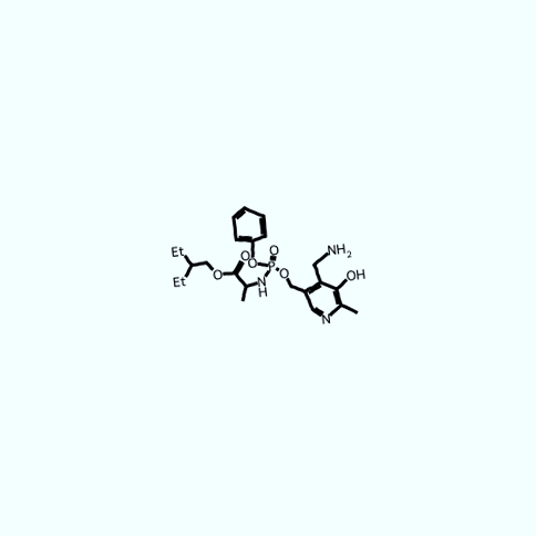 CCC(CC)COC(=O)C(C)NP(=O)(OCc1cnc(C)c(O)c1CN)Oc1ccccc1